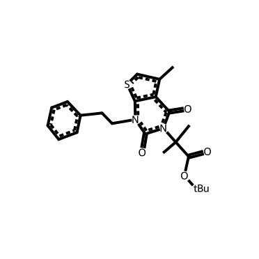 Cc1csc2c1c(=O)n(C(C)(C)C(=O)OC(C)(C)C)c(=O)n2CCc1ccccc1